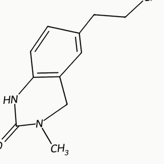 CN1Cc2cc(CCCl)ccc2NC1=O